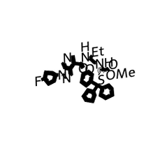 CCC(NC(=O)c1cncc2c1cnn2-c1ccc(F)cc1)C(=O)N[C@@H](CSC(c1ccccc1)(c1ccccc1)c1ccccc1)C(=O)OC